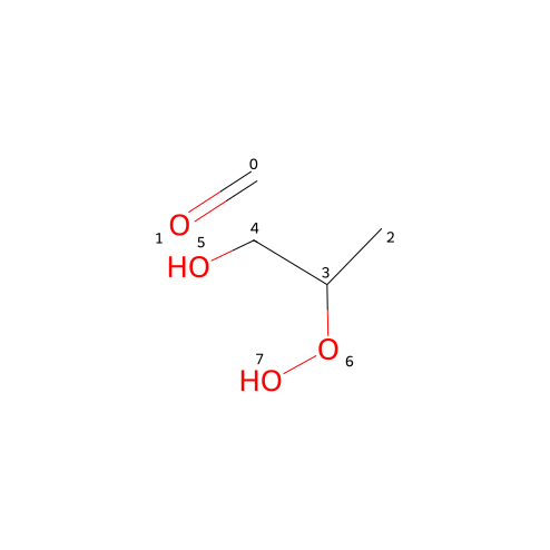 C=O.CC(CO)OO